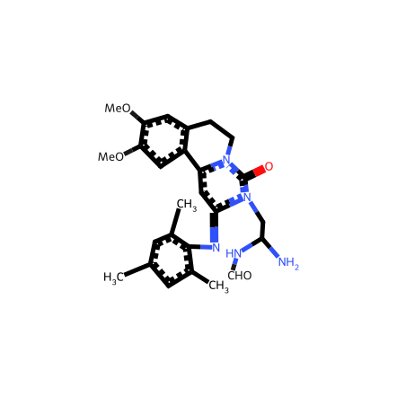 COc1cc2c(cc1OC)-c1cc(=Nc3c(C)cc(C)cc3C)n(CC(N)NC=O)c(=O)n1CC2